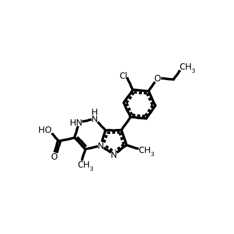 CCOc1ccc(-c2c(C)nn3c2NNC(C(=O)O)=C3C)cc1Cl